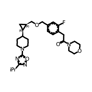 CC(C)c1noc(N2CCC([C@H]3C[C@H]3COCc3ccc(CC(=O)N4CCOCC4)c(F)c3)CC2)n1